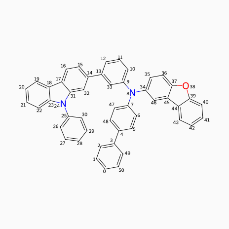 c1ccc(-c2ccc(N(c3cccc(-c4ccc5c6ccccc6n(-c6ccccc6)c5c4)c3)c3ccc4oc5ccccc5c4c3)cc2)cc1